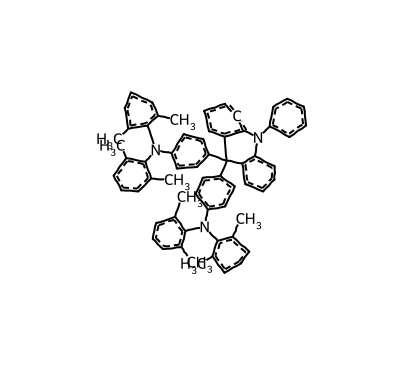 Cc1cccc(C)c1N(c1ccc(C2(c3ccc(N(c4c(C)cccc4C)c4c(C)cccc4C)cc3)c3ccccc3N(c3ccccc3)c3ccccc32)cc1)c1c(C)cccc1C